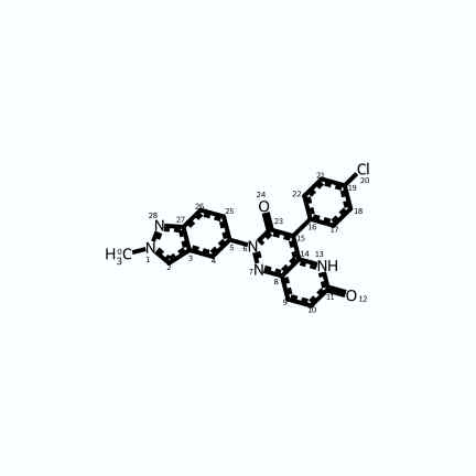 Cn1cc2cc(-n3nc4ccc(=O)[nH]c4c(-c4ccc(Cl)cc4)c3=O)ccc2n1